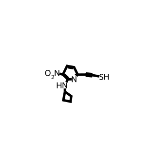 O=[N+]([O-])c1ccc(C#CS)nc1NC1CCC1